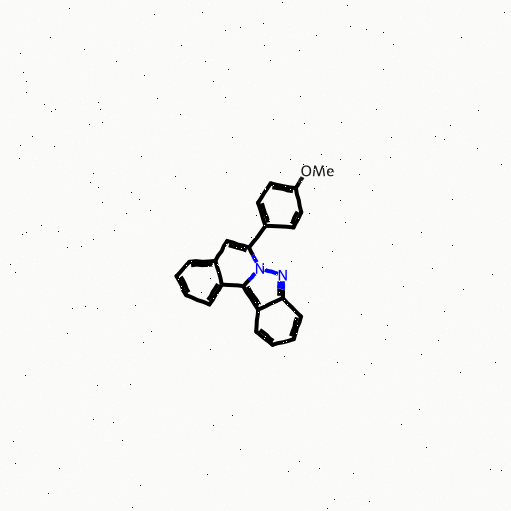 COc1ccc(-c2cc3ccccc3c3c4ccccc4nn23)cc1